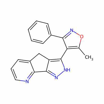 Cc1onc(-c2ccccc2)c1-c1[nH]nc2c1Cc1cccnc1-2